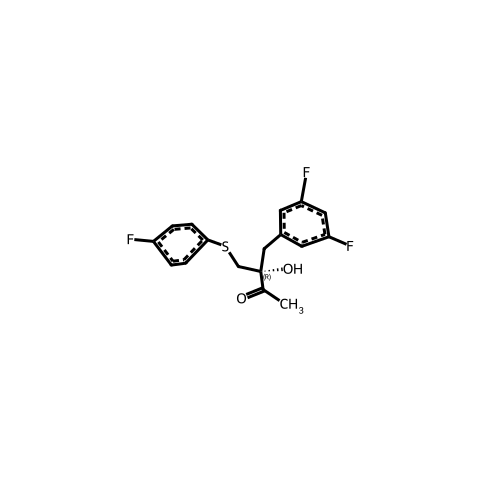 CC(=O)[C@@](O)(CSc1ccc(F)cc1)Cc1cc(F)cc(F)c1